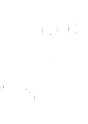 CCCN(C(=O)Oc1ccc(Cl)cc1)C1CCC(OCCCCCCN(C)CCOC)CC1